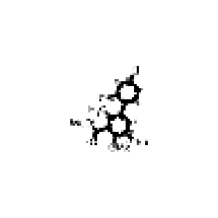 COC(=O)c1c(C)c(-c2ccc(Cl)cc2Cl)cc(C(C)(C)C)c1OC